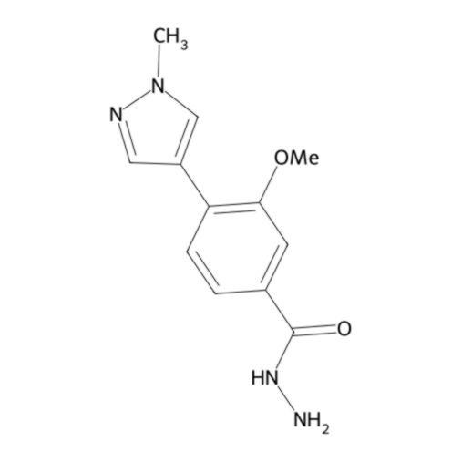 COc1cc(C(=O)NN)ccc1-c1cnn(C)c1